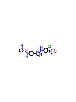 O=C(Nc1ccc(-c2ccnc(Nc3ccc(N4CCOCC4)c(Cl)c3)n2)cc1)[C@@H]1CCCN1